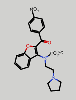 CCOC(=O)N(CCN1CCCC1)c1c(C(=O)c2ccc([N+](=O)[O-])cc2)oc2ccccc12